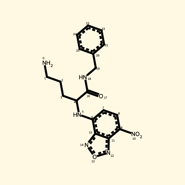 NCCCC(Nc1ccc([N+](=O)[O-])c2nonc12)C(=O)NCc1ccccc1